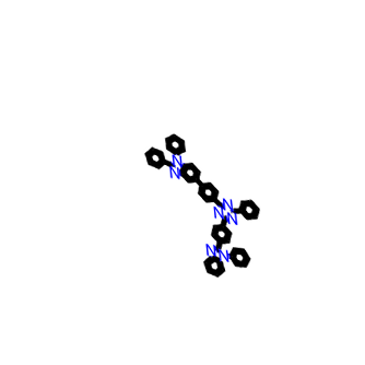 c1ccc(-c2nc(-c3ccc(-c4ccc5c(c4)nc(-c4ccccc4)n5-c4ccccc4)cc3)nc(-c3ccc(-c4nc5ccccc5n4-c4ccccc4)cc3)n2)cc1